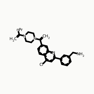 C=C(CCC)N1CCN(C(=C)c2ccc3c(Cl)cc(-c4cccc(CN)c4)nc3c2)CC1